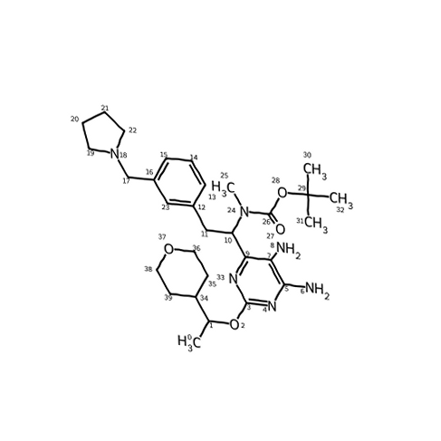 CC(Oc1nc(N)c(N)c(C(Cc2cccc(CN3CCCC3)c2)N(C)C(=O)OC(C)(C)C)n1)C1CCOCC1